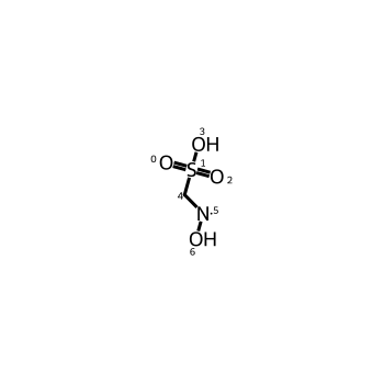 O=S(=O)(O)C[N]O